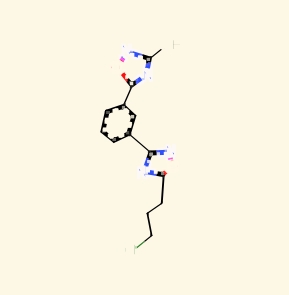 Cc1noc(-c2cccc(-c3noc(CCCCl)n3)c2)n1